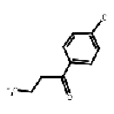 O=C(CCC(F)(F)F)c1ccc(Cl)cc1